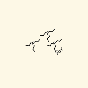 CCCP(CCC)CCC.CCCP(CCC)CCC.CCCP(CCC)CCC.[I][Co][I]